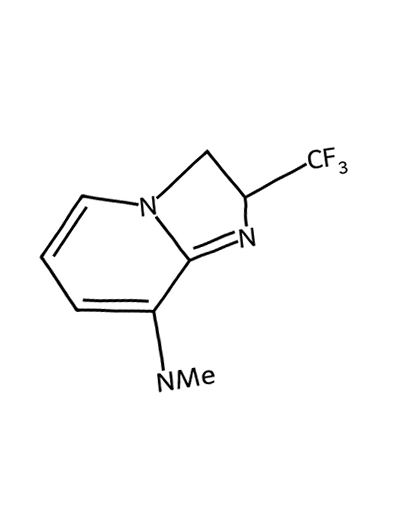 CNC1=CC=CN2CC(C(F)(F)F)N=C12